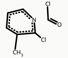 Cc1cccnc1Cl.O=CCl